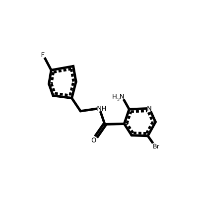 Nc1ncc(Br)cc1C(=O)NCc1ccc(F)cc1